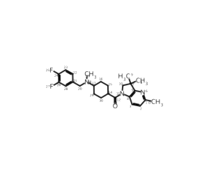 Cc1ccc2c(n1)C(C)(C)CN2C(=O)C1CCC(N(C)Cc2ccc(F)c(F)c2)CC1